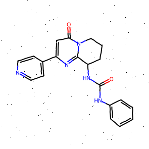 O=C(Nc1ccccc1)NC1CCCn2c1nc(-c1ccncc1)cc2=O